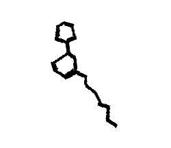 CCCCCCCC1=CC=CC(c2ccccc2)C1